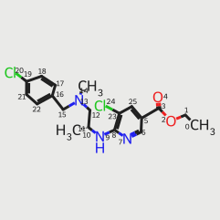 CCOC(=O)c1cnc(N[C@H](C)CN(C)Cc2ccc(Cl)cc2)c(Cl)c1